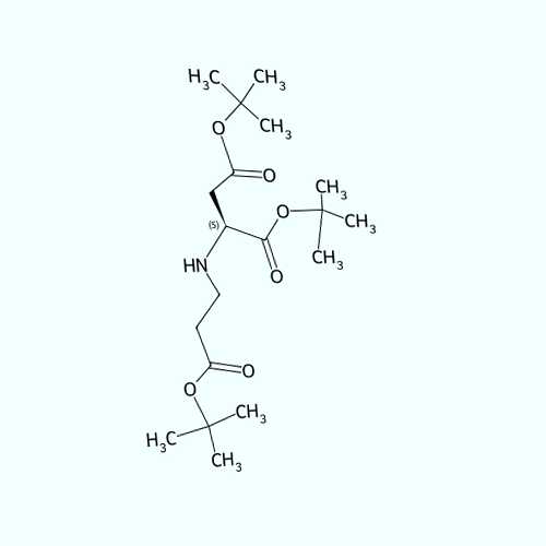 CC(C)(C)OC(=O)CCN[C@@H](CC(=O)OC(C)(C)C)C(=O)OC(C)(C)C